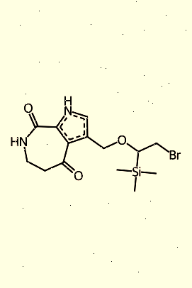 C[Si](C)(C)C(CBr)OCc1c[nH]c2c1C(=O)CCNC2=O